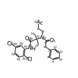 CC(=O)CCN(C(=O)Cc1ccccc1)C(C)(C)C(=O)Nc1cc(Cl)ccc1Cl